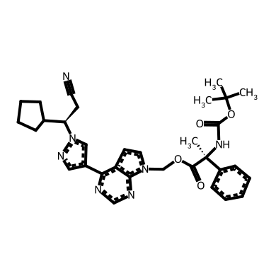 CC(C)(C)OC(=O)N[C@](C)(C(=O)OCn1ccc2c(-c3cnn([C@H](CC#N)C4CCCC4)c3)ncnc21)c1ccccc1